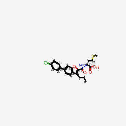 CCCc1c(C(=O)N[C@@H](CCSC)C(=O)O)oc2cc(-c3ccc(Cl)cc3)ccc12